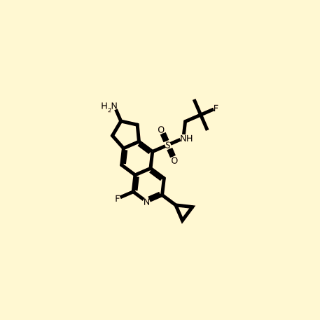 CC(C)(F)CNS(=O)(=O)c1c2c(cc3c(F)nc(C4CC4)cc13)CC(N)C2